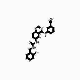 C#Cc1cccc(Nc2ncnc3ccc(NC(=O)NCc4ccccc4F)cc23)c1